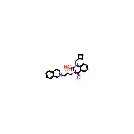 O=C1c2ccccc2N(CC2CCC2)C(O)N1C[C@H](O)CN1CCc2ccccc2C1